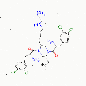 CC(C)C[C@@H]1CN(C(=O)C(N)Cc2ccc(Cl)c(Cl)c2)[C@@H](CCCCNCCN)CN1C(=O)C(N)Cc1ccc(Cl)c(Cl)c1